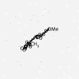 COCCOCCOCCS(=O)(=O)N1CCN(CCCCCC2=C(C)C(=O)N(c3ccc4c(c3)COC4=O)C2=O)CC1